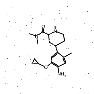 Cc1cc(N)c(OC2CC2)cc1C1CCN(C)C(C(=O)N(C)C)C1